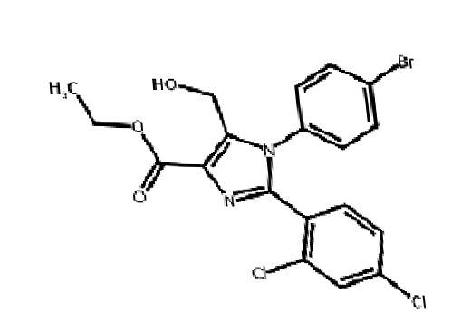 CCOC(=O)c1nc(-c2ccc(Cl)cc2Cl)n(-c2ccc(Br)cc2)c1CO